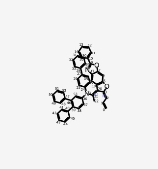 C=C/C=c1/oc2cc3oc(-c4ccccc4)nc3cc2/c1=C(/C)N(c1ccc(-c2ccccc2)cc1)c1ccc(-c2ccccc2)c(-c2ccccc2)c1